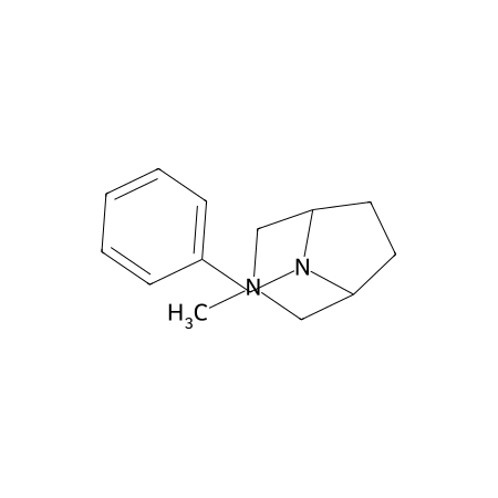 CN1CC2CCC(C1)N2Cc1ccccc1